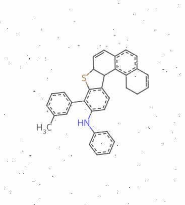 Cc1cccc(-c2c(Nc3ccccc3)ccc3c2SC2C=Cc4ccc5c(c4C32)CCC=C5)c1